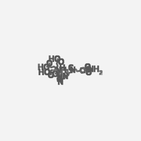 CN(CCCNCc1nccn1CC(=O)NC(CCC(=O)O)(CCC(=O)O)CCC(=O)O)CCc1ccc(S(N)(=O)=O)cc1